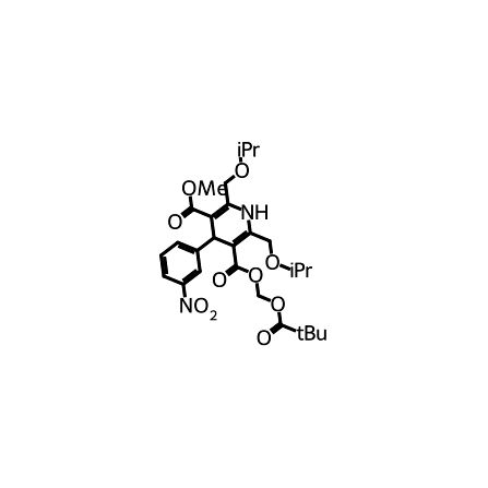 COC(=O)C1=C(COC(C)C)NC(COC(C)C)=C(C(=O)OCOC(=O)C(C)(C)C)C1c1cccc([N+](=O)[O-])c1